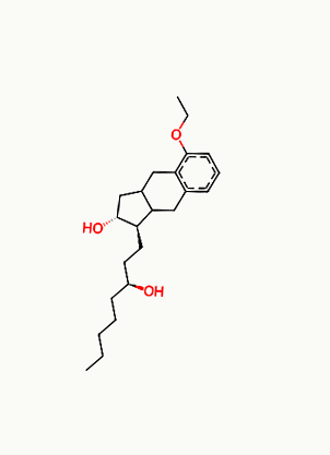 CCCCC[C@H](O)CC[C@@H]1C2Cc3cccc(OCC)c3CC2C[C@H]1O